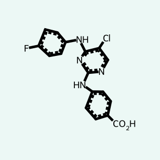 O=C(O)c1ccc(Nc2ncc(Cl)c(Nc3ccc(F)cc3)n2)cc1